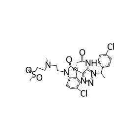 CC(c1ccc(Cl)cc1)n1nnc2c1NC(=O)C[C@]21C(=O)N(CCN(C)CCS(C)(=O)=O)c2ccc(Cl)cc21